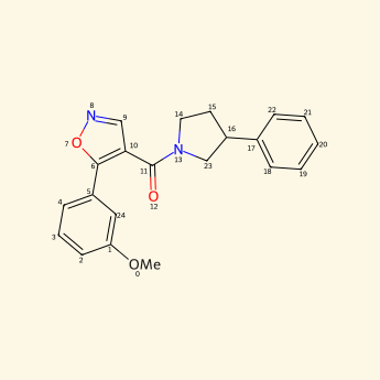 COc1cccc(-c2oncc2C(=O)N2CCC(c3ccccc3)C2)c1